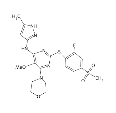 COc1c(Nc2cc(C)[nH]n2)nc(Sc2ccc(S(C)(=O)=O)cc2F)nc1N1CCOCC1